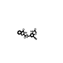 N#Cc1cc(CNC(=O)c2nc3ccccc3c(=O)[nH]2)cc2c1OCC(=O)N2